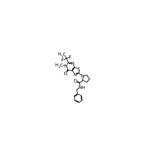 Cn1c(C(C)(F)F)nc2sc(N3CCCC3C(=O)NCc3ccccc3)nc2c1=O